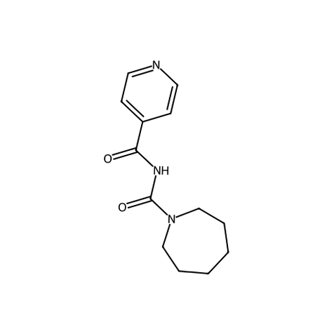 O=C(NC(=O)N1CCCCCC1)c1ccncc1